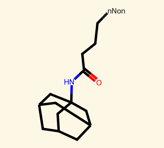 CCCCCCCCCCCCC(=O)NC12CC3CC(CC(C3)C1)C2